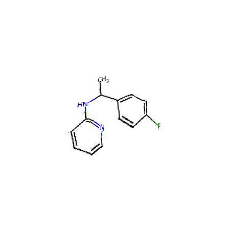 CC(Nc1[c]cccn1)c1ccc(F)cc1